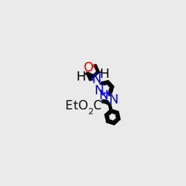 CCOC(=O)c1c(-c2ccccc2)nc2ccc(N3C[C@H]4C[C@@H]3CO4)nn12